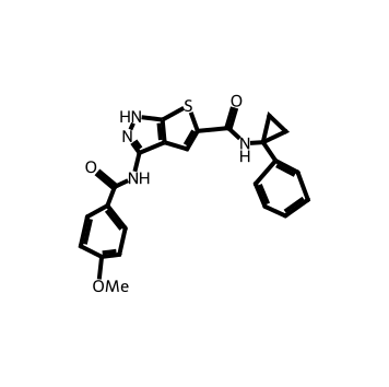 COc1ccc(C(=O)Nc2n[nH]c3sc(C(=O)NC4(c5ccccc5)CC4)cc23)cc1